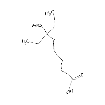 CCC(O)(CC)CCCCC(=O)O